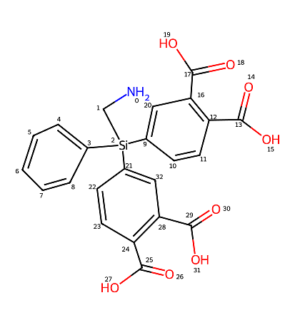 NC[Si](c1ccccc1)(c1ccc(C(=O)O)c(C(=O)O)c1)c1ccc(C(=O)O)c(C(=O)O)c1